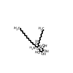 CCCCCCCCCCCCCC=CC(O)C(N)C(OC1O[C@H](CO)[C@@H](O)[C@H](O)[C@H]1O)C(=O)CCCCCCCCCCC